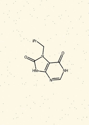 CC(C)Cn1c(=O)[nH]c2nc[nH]c(=O)c21